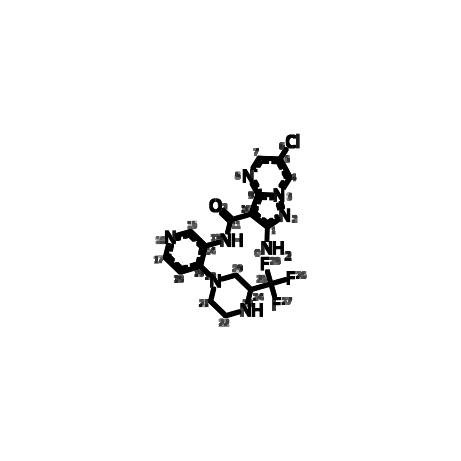 Nc1nn2cc(Cl)cnc2c1C(=O)Nc1cnccc1N1CCNC(C(F)(F)F)C1